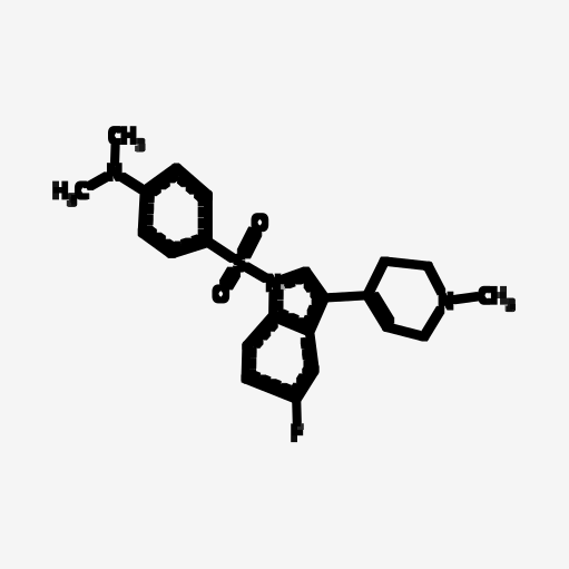 CN1CC=C(c2cn(S(=O)(=O)c3ccc(N(C)C)cc3)c3ccc(F)cc23)CC1